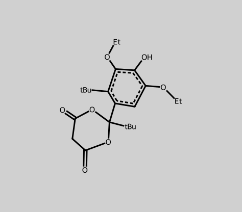 CCOc1cc(C2(C(C)(C)C)OC(=O)CC(=O)O2)c(C(C)(C)C)c(OCC)c1O